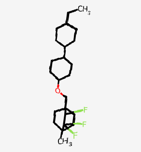 CCC1CCC(C2CCC(OCC34CCC(C)(CC3)C(F)(F)C4F)CC2)CC1